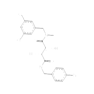 C[C@H](NC(=O)[C@H](O)[C@@H](O)C(=O)N(C)Cc1cc(Cl)cc(Cl)c1)c1ccc(Br)cc1